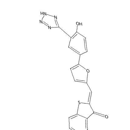 O=C1/C(=C/c2ccc(-c3ccc(O)c(-c4nn[nH]n4)c3)o2)Sc2ccccc21